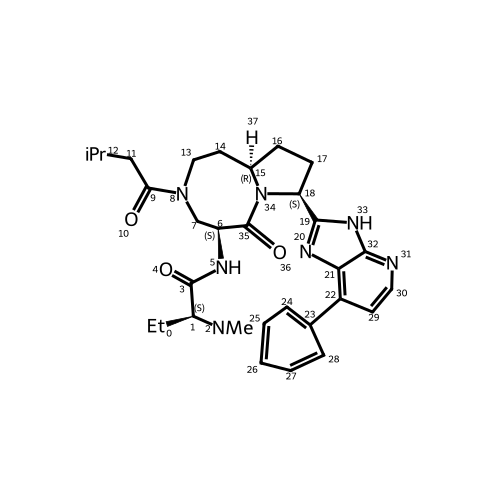 CC[C@H](NC)C(=O)N[C@H]1CN(C(=O)CC(C)C)CC[C@H]2CC[C@@H](c3nc4c(-c5ccccc5)ccnc4[nH]3)N2C1=O